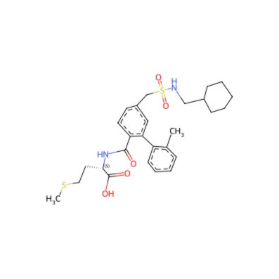 CSCC[C@H](NC(=O)c1ccc(CS(=O)(=O)NCC2CCCCC2)cc1-c1ccccc1C)C(=O)O